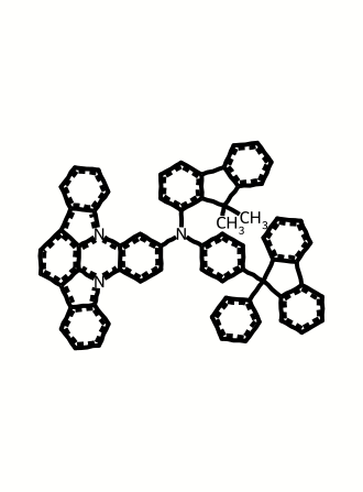 CC1(C)c2ccccc2-c2cccc(N(c3ccc(C4(c5ccccc5)c5ccccc5-c5ccccc54)cc3)c3ccc4c(c3)n3c5ccccc5c5ccc6c7ccccc7n4c6c53)c21